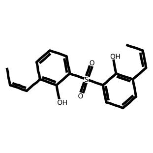 C/C=C\c1cccc(S(=O)(=O)c2cccc(/C=C\C)c2O)c1O